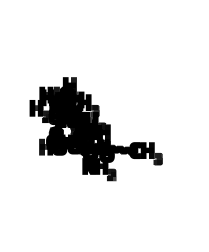 CCCCCCCC(=O)NCCC(=O)N[C@@H](CCCCN)C(=O)N(C)[C@@H]1C(=O)N[C@@H](N)C(=O)N[C@H](C(=O)N[C@@H](N)B2O[C@@H]3C[C@@H]4C[C@@H](C4(C)C)[C@]3(C)O2)Cc2ccc(O)c(c2)-c2cc1ccc2O